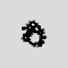 C[C@@H]1[C@@H](C)CCC[C@@]2(COCCO2)[C@@H]2CC[C@H]2CN2C[C@@]3(CCCc4cc(Cl)ccc43)COc3ccc(cc32)C(=O)NS1(=O)=O